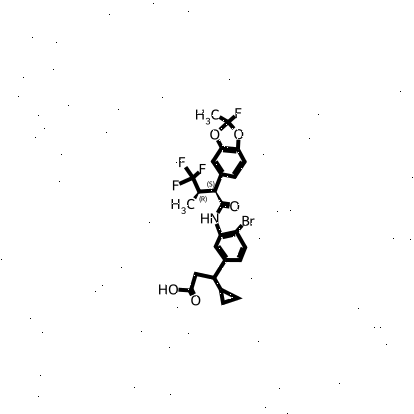 C[C@H]([C@H](C(=O)Nc1cc(C(CC(=O)O)C2CC2)ccc1Br)c1ccc2c(c1)OC(C)(F)O2)C(F)(F)F